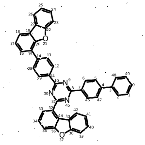 c1ccc(-c2ccc(-c3nc(-c4ccc(-c5cccc6c5oc5ccccc56)cc4)nc(-c4cccc5oc6ccccc6c45)n3)cc2)cc1